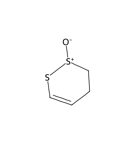 [O-][S+]1CCC=CS1